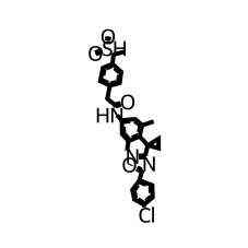 Cc1cc(NC(=O)Cc2ccc(C(C)[SH](=O)=O)cc2)cc(C)c1C1(c2noc(-c3ccc(Cl)cc3)n2)CC1